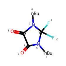 CCCCN1C(=O)C(=O)N(CCCC)C1(F)F